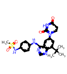 CC(C)(C)c1cc(-n2ccc(=O)[nH]c2=O)cc2c(Nc3ccc(NS(C)(=O)=O)cc3)ncnc12